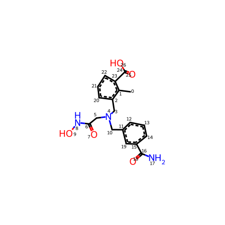 Cc1c(CN(CC(=O)NO)Cc2cccc(C(N)=O)c2)cccc1C(=O)O